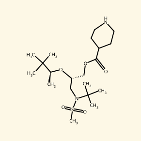 C[C@H](O[C@H](COC(=O)C1CCNCC1)CN(C(C)(C)C)S(C)(=O)=O)C(C)(C)C